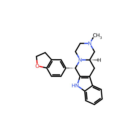 CN1CCN2[C@H](Cc3c([nH]c4ccccc34)[C@@H]2c2ccc3c(c2)CCO3)C1